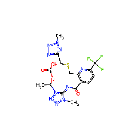 CC(OC(=O)O)n1nnn(C)c1=NC(=O)c1ccc(C(F)(F)F)nc1CSCc1nnn(C)n1